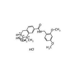 COc1ccc(CNC(=O)c2ccc3c(c2)[C@]2(C)CCN[C@H](C3)[C@@H]2C)c(OC)c1.Cl